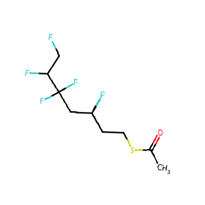 CC(=O)SCCC(F)CC(F)(F)C(F)CF